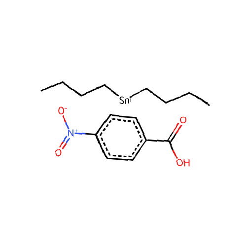 CCC[CH2][Sn][CH2]CCC.O=C(O)c1ccc([N+](=O)[O-])cc1